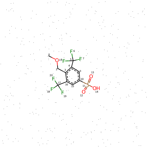 COCc1c(C(F)(F)F)cc(S(=O)(=O)O)cc1C(F)(F)F